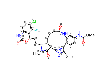 COC(=O)Nc1ccc2c(c1)NC(=O)CCCCC(C(=O)N(C)CCCC1OC(=O)Nc3ccc(Cl)c(F)c31)c1nc-2c(C)[nH]1